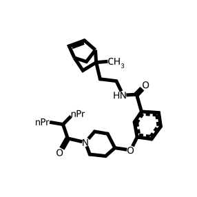 CCCC(CCC)C(=O)N1CCC(Oc2cccc(C(=O)NCCC3(C)CC4C=CC3C4)c2)CC1